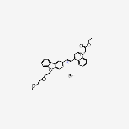 CCOC(=O)C[n+]1ccc(/C=C/c2ccc3c(c2)c2ccccc2n3CCOCCOC)c2ccccc21.[Br-]